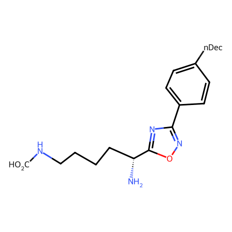 CCCCCCCCCCc1ccc(-c2noc([C@H](N)CCCCNC(=O)O)n2)cc1